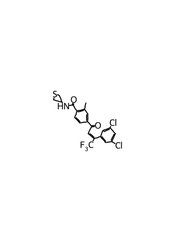 Cc1cc(C(=O)C=C(c2cc(Cl)cc(Cl)c2)C(F)(F)F)ccc1C(=O)NC1CSC1